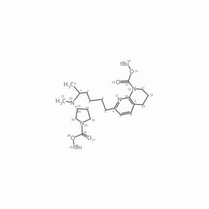 CC(CCCCc1ccc2c(n1)N(C(=O)OC(C)(C)C)CCC2)N(C)[C@@H]1CCN(C(=O)OC(C)(C)C)C1